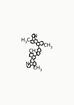 Cc1ccc2c(c1)c(-c1ccc3ccc(-c4cc5c6ccc(C)c7c6c(cc5c5ccc(C)cc45)-c4ncccc4-7)cc3c1)cc1c3ccc(C)c4c3c(cc21)-c1ncccc1-4